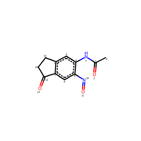 CC(=O)Nc1cc2c(cc1N=O)C(=O)CC2